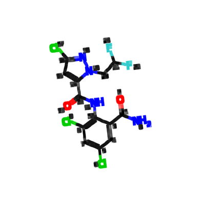 NC(=O)c1cc(Cl)cc(Cl)c1NC(=O)c1cc(Cl)nn1CC(F)F